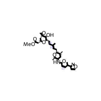 COC(=O)C[C@@H]1C[C@@]2(CO2)[C@H](O)[C@@H](/C=C/C(C)=C/C[C@@H]2O[C@H](C)[C@H](NC(=O)/C=C\C(C)c3ccon3)C[C@@H]2C)O1